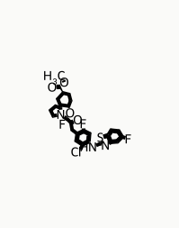 COC(=O)[C@H]1CC[C@H](OC(F)(C(=O)Cc2cc(Cl)c(Nc3nc4cc(F)ccc4s3)cc2F)N2CCCC2)CC1